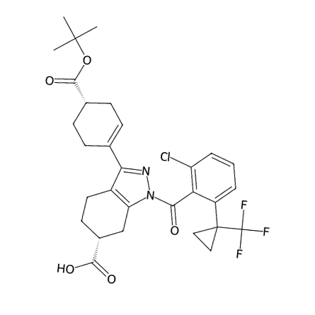 CC(C)(C)OC(=O)[C@@H]1CC=C(c2nn(C(=O)c3c(Cl)cccc3C3(C(F)(F)F)CC3)c3c2CC[C@@H](C(=O)O)C3)CC1